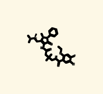 CCOc1cc(F)c(Cl)cc1C(=O)NCC(C)(C)CC(=O)Nc1c(C[C@@H](C)N(C)C)n(C)n(-c2ccccc2)c1=O